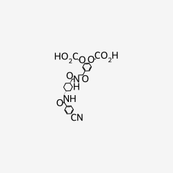 N#Cc1ccc(C(=O)NC[C@H]2CC[C@H](C(=O)NCC(=O)c3ccc(OCC(=O)O)c(OCC(=O)O)c3)CC2)cc1